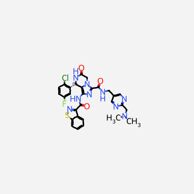 CN(C)Cc1ncc(CNC(=O)c2nc(NC(=O)c3nsc4ccccc34)c3n2CC(=O)N[C@H]3c2cc(F)ccc2Cl)cn1